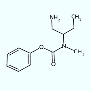 CCC(CN)N(C)C(=O)Oc1ccccc1